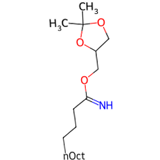 CCCCCCCCCCCC(=N)OCC1COC(C)(C)O1